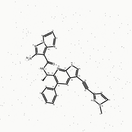 C[C@@H](NC(=O)c1c(N)nn2cccnc12)c1nc2scc(C#Cc3ccn(C)n3)c2cc1-c1ccccc1